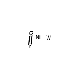 [Ni].[O]=[Y].[W]